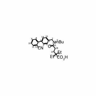 CCCCN(Cc1ccc(-c2ccccc2C#N)cc1)C(=O)CCC(CC)(CC)C(=O)O